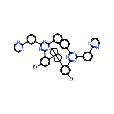 CCc1ccc(C23CC4CC2CC4(c2ccc(CC)cc2-c2nc(-c4ccccc4)nc(-c4cccc(-c5ncccn5)c4)n2)C3)c(-c2nc(-c3ccccc3)nc(-c3cccc(-c4ncccn4)c3)n2)c1